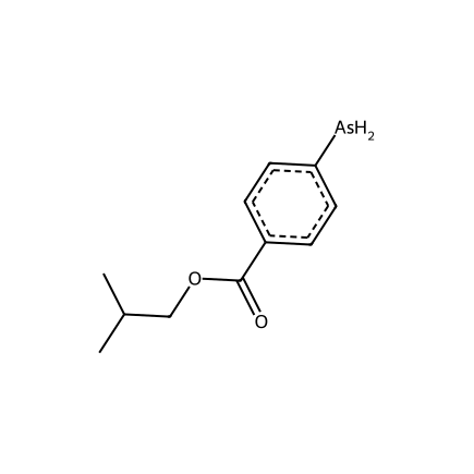 CC(C)COC(=O)c1ccc([AsH2])cc1